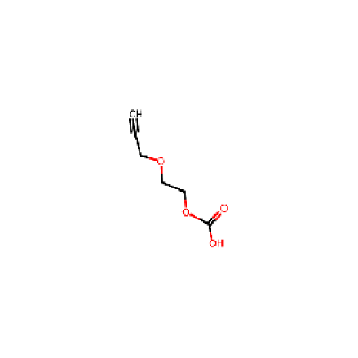 C#CCOCCOC(=O)O